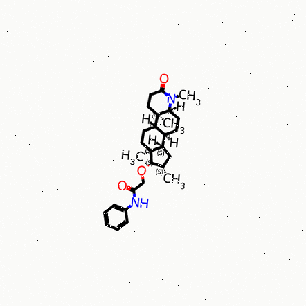 C[C@H]1C[C@H]2[C@@H]3CC[C@H]4N(C)C(=O)CC[C@]4(C)[C@H]3CC[C@]2(C)[C@H]1OCC(=O)Nc1ccccc1